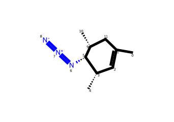 CC1=C[C@H](C)[C@H](N=[N+]=[N-])[C@H](C)C1